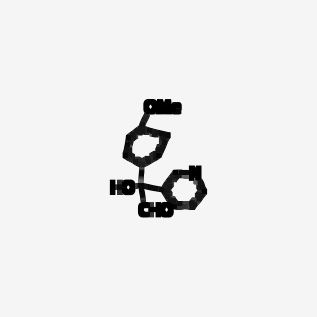 COc1ccc(C(O)(C=O)c2cccnc2)cc1